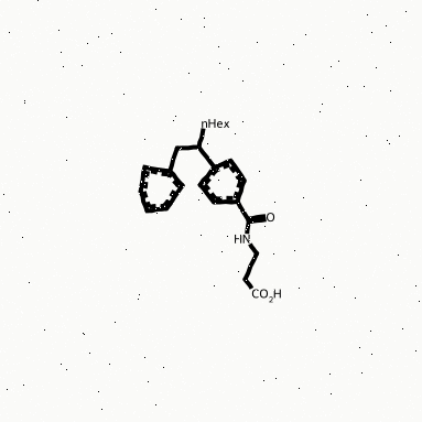 CCCCCCC(Cc1ccccc1)c1ccc(C(=O)NCCC(=O)O)cc1